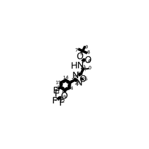 C[C@H](NC(=O)OC(C)(C)C)c1nc(-c2ccc(F)c(OC(F)(F)F)c2)no1